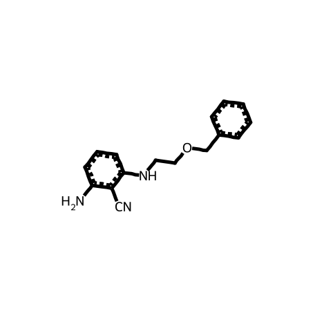 N#Cc1c(N)cccc1NCCOCc1ccccc1